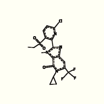 CCS(=O)(=O)c1ccc(Cl)nc1-c1nc2cc(C(F)(F)F)n(C3CC3)c(=O)c2n1C